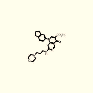 CCOC(=O)c1cn(-c2ccc3c(c2)CCC3)c2nc(NCCCN3CCOCC3)ncc2c1=O